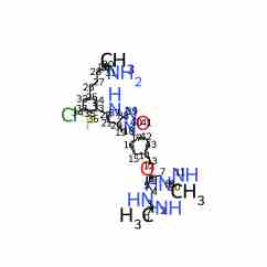 CC(=N)NCC[C@H](CNC(C)=N)OCc1ccc(-n2cc3cc(-c4cc(CCC[C@H](C)N)cc(Cl)c4F)[nH]c3nc2=O)cc1